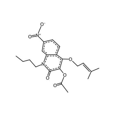 CCCCn1c(=O)c(OC(C)=O)c(OCC=C(C)C)c2ccc([N+](=O)[O-])cc21